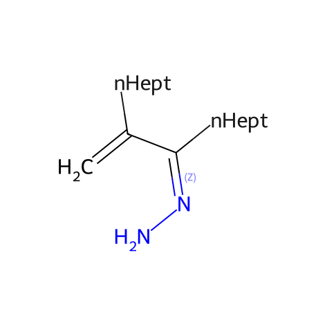 C=C(CCCCCCC)/C(CCCCCCC)=N\N